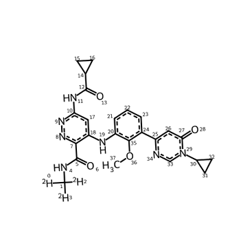 [2H]C([2H])([2H])NC(=O)c1nnc(NC(=O)C2CC2)cc1Nc1cccc(-c2cc(=O)n(C3CC3)cn2)c1OC